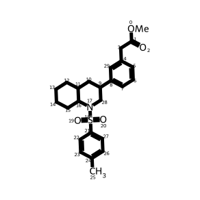 COC(=O)Cc1cccc(C2CC3CCCCC3N(S(=O)(=O)c3ccc(C)cc3)C2)c1